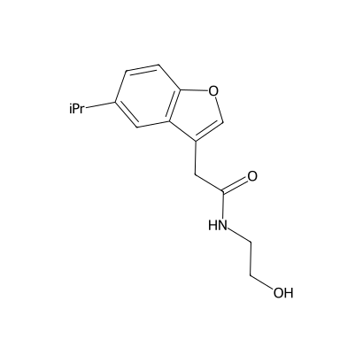 CC(C)c1ccc2occ(CC(=O)NCCO)c2c1